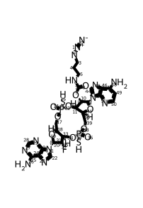 [N-]=[N+]=NCCCNC(=O)O[C@@H]1[C@@H]2OP(=O)(S)OC[C@H]3O[C@@H](n4cnc5c(N)ncnc54)[C@H](F)[C@@H]3O[P@](=O)(S)OC[C@H]2O[C@H]1n1cnc2c(N)ccnc21